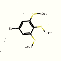 [CH2]Cc1cc(SCCCCCCCC)c(SCCCCCCCC)c(SCCCCCCCC)c1